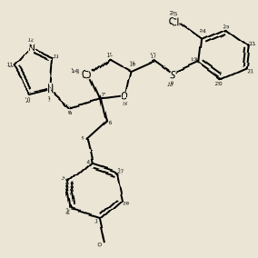 Cc1ccc(CCC2(Cn3ccnc3)OCC(CSc3ccccc3Cl)O2)cc1